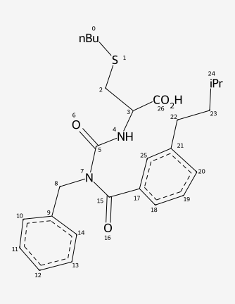 CCCCSCC(NC(=O)N(Cc1ccccc1)C(=O)c1cccc(CCC(C)C)c1)C(=O)O